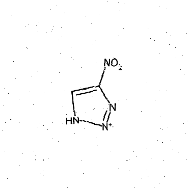 O=[N+]([O-])C1=CN[N+]=N1